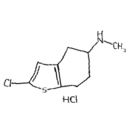 CNC1CCc2sc(Cl)cc2C1.Cl